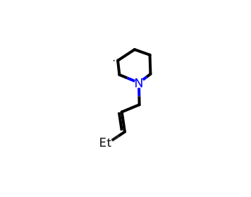 CCC=CCN1C[CH]CCC1